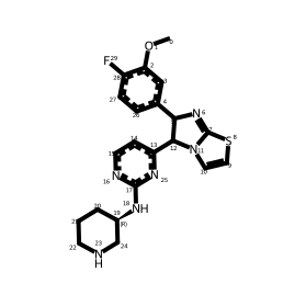 COc1cc(C2N=C3SC=CN3C2c2ccnc(N[C@@H]3CCCNC3)n2)ccc1F